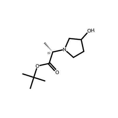 C[C@@H](C(=O)OC(C)(C)C)N1CCC(O)C1